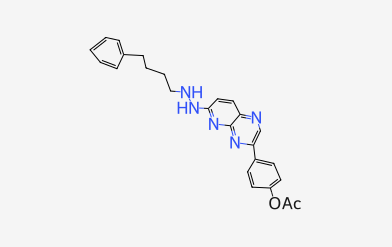 CC(=O)Oc1ccc(-c2cnc3ccc(NNCCCCc4ccccc4)nc3n2)cc1